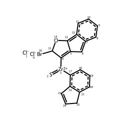 [Cl-].[Cl-].[S]=[Zr+2]([C]1=C2C=c3ccccc3=C2OC1Br)[c]1cccc2c1C=CC2